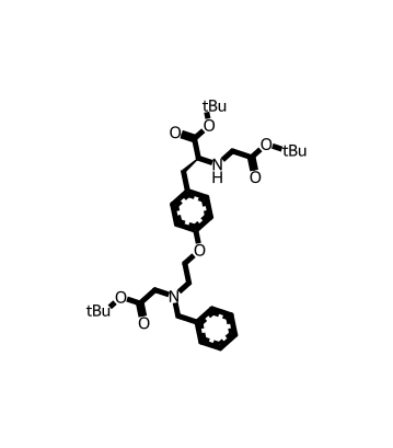 CC(C)(C)OC(=O)CN[C@@H](Cc1ccc(OCCN(CC(=O)OC(C)(C)C)Cc2ccccc2)cc1)C(=O)OC(C)(C)C